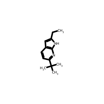 CCc1cc2ccc(C(C)(C)C)nc2[nH]1